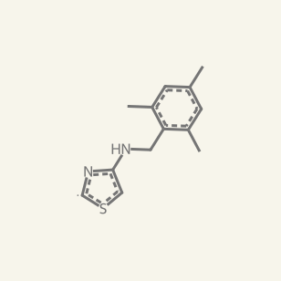 Cc1cc(C)c(CNc2cs[c]n2)c(C)c1